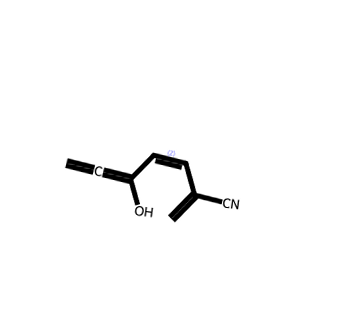 C=C=C(O)/C=C\C(=C)C#N